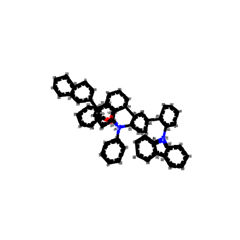 c1ccc(N(c2ccc(-c3ccc4ccccc4c3)cc2)c2ccc(-c3ccccc3-n3c4ccccc4c4ccccc43)cc2-c2cccc3c2oc2ccccc23)cc1